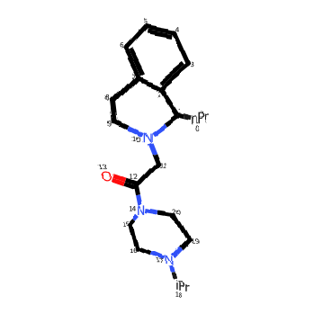 CCCC1c2ccccc2CCN1CC(=O)N1CCN(C(C)C)CC1